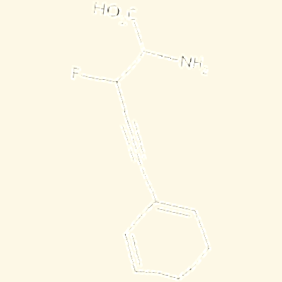 NC(C(=O)O)C(F)C#CC1=CCCC=C1